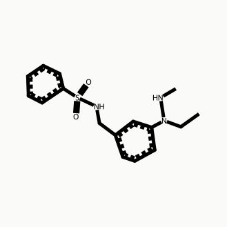 CCN(NC)c1cccc(CNS(=O)(=O)c2ccccc2)c1